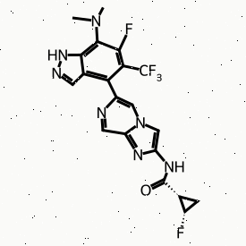 CN(C)c1c(F)c(C(F)(F)F)c(-c2cn3cc(NC(=O)[C@@H]4C[C@@H]4F)nc3cn2)c2cn[nH]c12